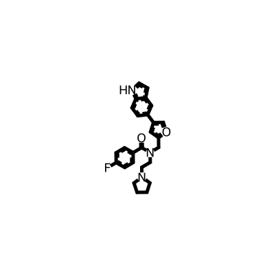 O=C(c1ccc(F)cc1)N(CCN1CCCC1)Cc1cc(-c2ccc3[nH]ccc3c2)co1